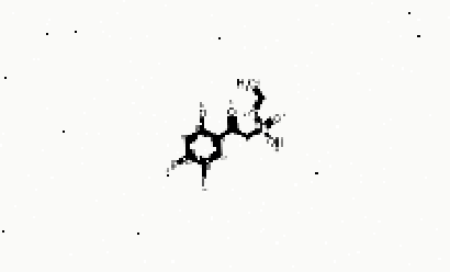 CCOP(=O)(O)CC(=O)c1cc(F)c(F)cc1Cl